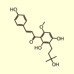 COc1cc(O)c(CCC(C)(C)O)c(O)c1C(=O)/C=C/c1ccc(O)cc1